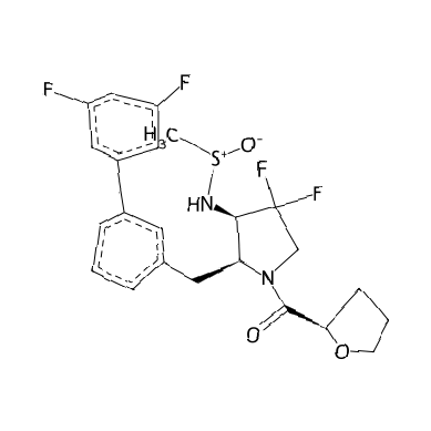 C[S+]([O-])N[C@@H]1[C@H](Cc2cccc(-c3cc(F)cc(F)c3)c2)N(C(=O)[C@H]2CCCO2)CC1(F)F